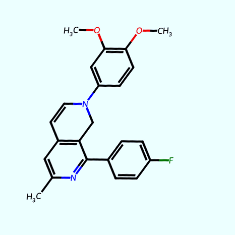 COc1ccc(N2C=Cc3cc(C)nc(-c4ccc(F)cc4)c3C2)cc1OC